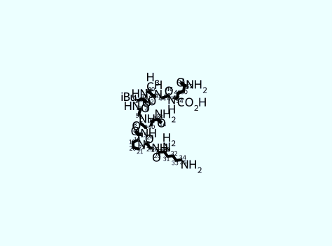 CC[C@H](C)[C@H](NC(=O)CNC(=O)[C@H](CCC(N)=O)NC(=O)[C@@H]1CCCN1C(=O)CNC(=O)[C@@H](N)CCCCN)C(=O)N[C@@H](C)C(=O)NCC(=O)N[C@@H](CCC(N)=O)C(=O)O